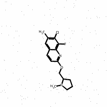 Cc1cc2ccc(OCC3CCCN3C)nc2c(F)c1Cl